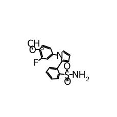 COc1ccc(-n2cccc2-c2ccccc2S(N)(=O)=O)cc1F